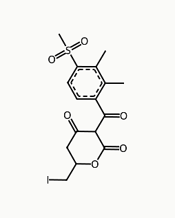 Cc1c(C(=O)C2C(=O)CC(CI)OC2=O)ccc(S(C)(=O)=O)c1C